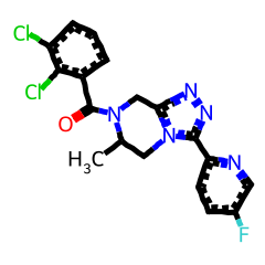 CC1Cn2c(nnc2-c2ccc(F)cn2)CN1C(=O)c1cccc(Cl)c1Cl